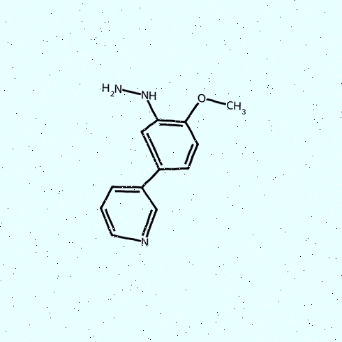 COc1ccc(-c2cccnc2)cc1NN